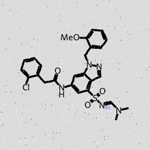 COc1ccccc1Cn1ncc2c(S(=O)(=O)/N=C/N(C)C)cc(NC(=O)Cc3ccccc3Cl)cc21